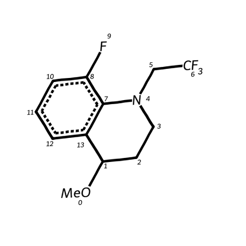 COC1CCN(CC(F)(F)F)c2c(F)cccc21